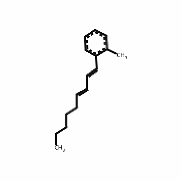 CCCCCC=CC=Cc1ccccc1C